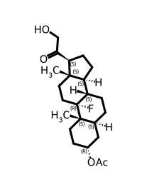 CC(=O)O[C@@H]1CC[C@@]2(C)[C@@H](CC[C@H]3[C@@H]4CC[C@H](C(=O)CO)[C@@]4(C)CC[C@@]32F)C1